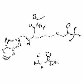 CC(=O)NC(=O)[C@H](CCCSCC(=O)C(F)(F)F)NCc1cnc2ccccc2c1.O=C(O)C(F)(F)F